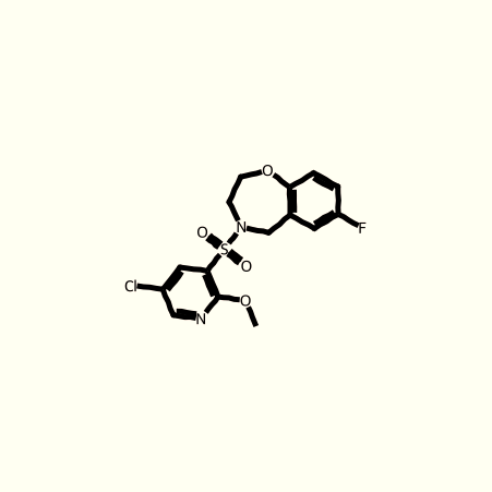 COc1ncc(Cl)cc1S(=O)(=O)N1CCOc2ccc(F)cc2C1